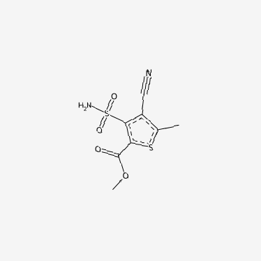 COC(=O)c1sc(C)c(C#N)c1S(N)(=O)=O